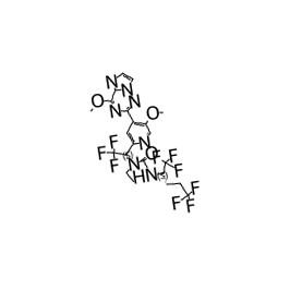 CCN(C(=O)N[C@@H](CCC(F)(F)F)C(F)(F)F)[C@@H](c1cc(-c2nc(OC)c3nccn3n2)c(OC)cn1)C(F)(F)F